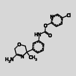 CC1(c2cccc(NC(=O)Oc3ccc(Cl)cn3)c2)COCC(N)=N1